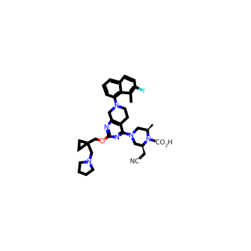 Cc1c(F)ccc2cccc(N3CCc4c(nc(OCC5(CN6CCCC6)CC5)nc4N4C[C@H](CC#N)N(C(=O)O)[C@H](C)C4)C3)c12